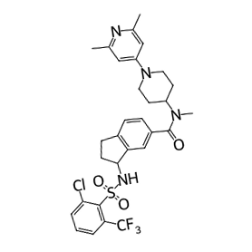 Cc1cc(N2CCC(N(C)C(=O)c3ccc4c(c3)C(NS(=O)(=O)c3c(Cl)cccc3C(F)(F)F)CC4)CC2)cc(C)n1